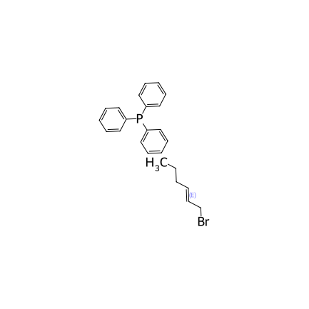 CCC/C=C/CBr.c1ccc(P(c2ccccc2)c2ccccc2)cc1